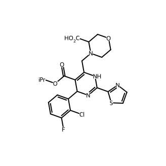 CC(C)OC(=O)C1=C(CN2CCOCC2C(=O)O)NC(c2nccs2)=NC1c1cccc(F)c1Cl